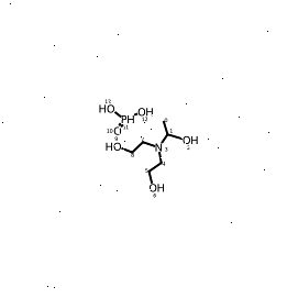 CC(O)N(CCO)CCO.O=[PH](O)O